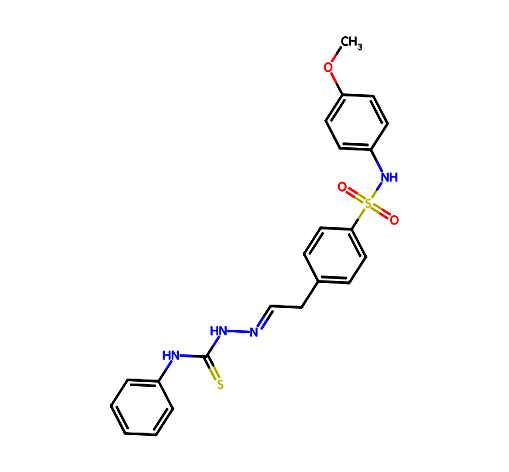 COc1ccc(NS(=O)(=O)c2ccc(CC=NNC(=S)Nc3ccccc3)cc2)cc1